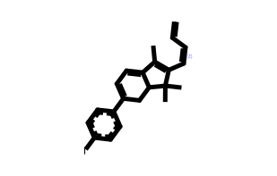 C=C/C=C\C1=C(C)C2=CC=C(c3ccc(I)cc3)CC2C1(C)C